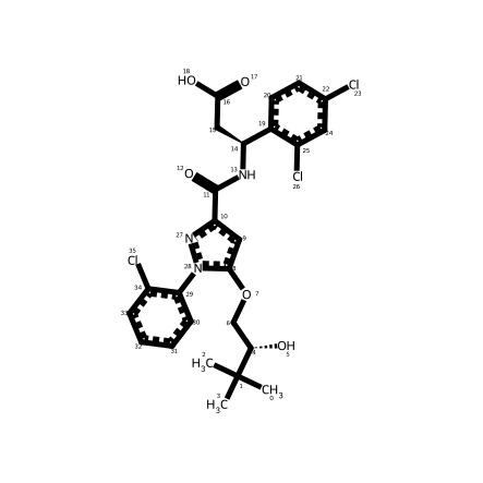 CC(C)(C)[C@@H](O)COc1cc(C(=O)N[C@@H](CC(=O)O)c2ccc(Cl)cc2Cl)nn1-c1ccccc1Cl